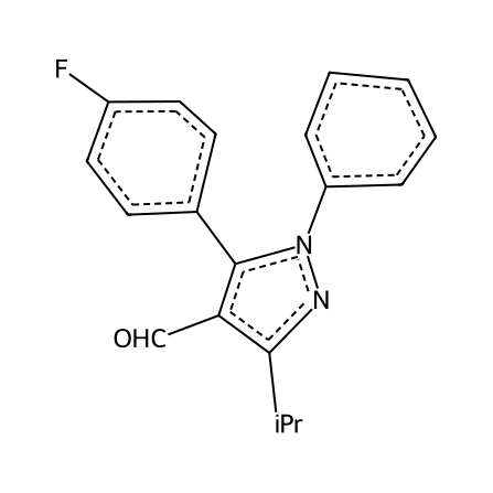 CC(C)c1nn(-c2ccccc2)c(-c2ccc(F)cc2)c1C=O